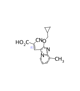 Cc1cccn2c(/C=C(\C#N)C(=O)O)c(OCC3CC3)nc12